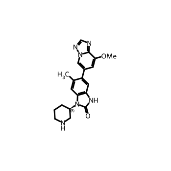 COc1cc(-c2cc3[nH]c(=O)n([C@@H]4CCCNC4)c3cc2C)cn2ncnc12